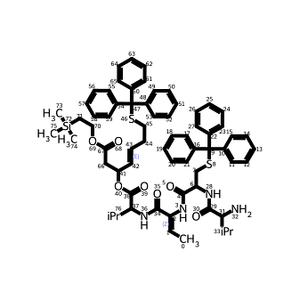 C/C=C(\NC(=O)C(CSC(c1ccccc1)(c1ccccc1)c1ccccc1)NC(=O)C(N)C(C)C)C(=O)NC(C(=O)OC(/C=C/CCSC(c1ccccc1)(c1ccccc1)c1ccccc1)CC(=O)OCC[Si](C)(C)C)C(C)C